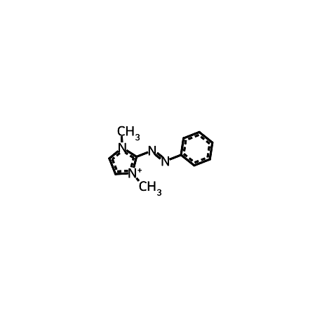 Cn1cc[n+](C)c1N=Nc1ccccc1